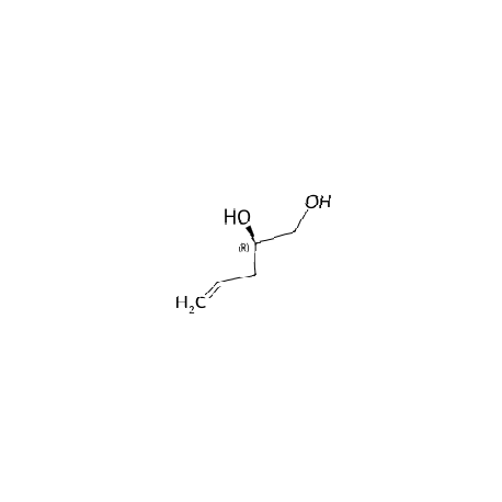 C=CC[C@@H](O)CO